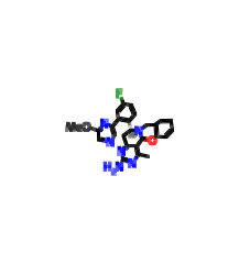 COc1cncc(-c2cc(F)ccc2[C@H]2Cc3nc(N)nc(C)c3C(=O)N2Cc2ccccc2)n1